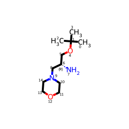 CC(C)(C)OC[C@H](N)CN1CCOCC1